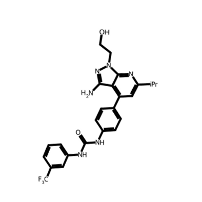 CC(C)c1cc(-c2ccc(NC(=O)Nc3cccc(C(F)(F)F)c3)cc2)c2c(N)nn(CCO)c2n1